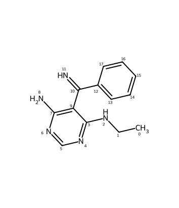 CCNc1ncnc(N)c1C(=N)c1ccccc1